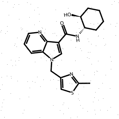 Cc1nc(Cn2cc(C(=O)N[C@H]3CCCC[C@@H]3O)c3ncccc32)cs1